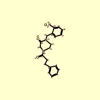 O=C(CCc1ccccc1)N1CCN(Cc2ccccc2[N+](=O)[O-])C(=O)C1